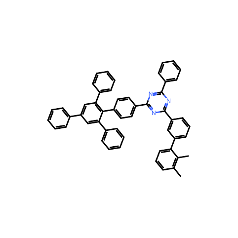 Cc1cccc(-c2cccc(-c3nc(-c4ccccc4)nc(-c4ccc(-c5c(-c6ccccc6)cc(-c6ccccc6)cc5-c5ccccc5)cc4)n3)c2)c1C